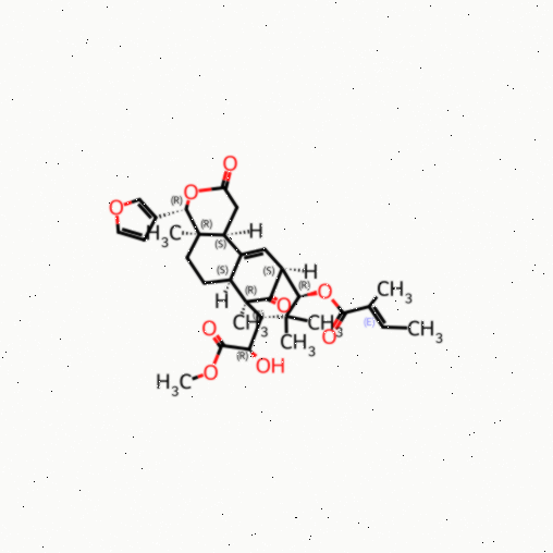 C/C=C(\C)C(=O)O[C@@H]1[C@@H]2C=C3[C@@H]4CC(=O)O[C@@H](c5ccoc5)[C@]4(C)CC[C@@H]3[C@@](C)(C2=O)[C@@H]([C@@H](O)C(=O)OC)C1(C)C